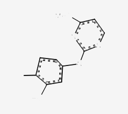 COc1ccnc(Nc2ccc(C)c(O)c2)n1